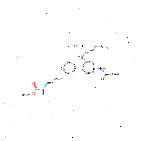 C=CC[C@H](Nc1cc(NC(=O)OC)ccc1-c1ccnc(CCC=CNC(=O)OC(C)(C)C)c1)C(=O)OCC